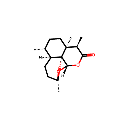 C[C@@H]1CC[C@@]2(C)[C@@H](C)C(=O)O[C@@H]3O[C@]4(C)CC[C@@H]1[C@]32OO4